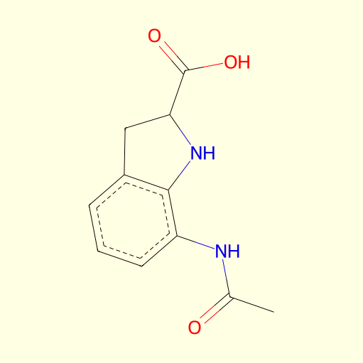 CC(=O)Nc1cccc2c1NC(C(=O)O)C2